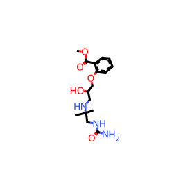 COC(=O)c1ccccc1OCC(O)CNC(C)(C)CNC(N)=O